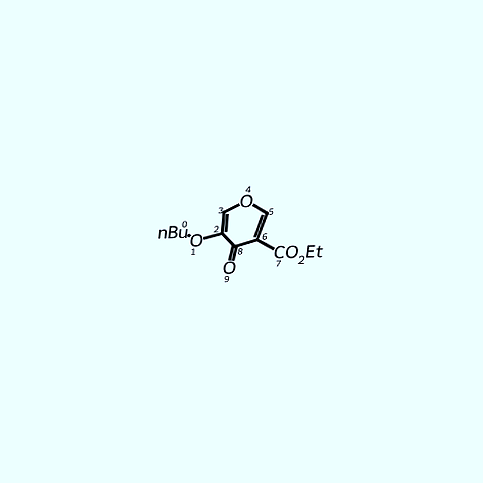 CCCCOc1cocc(C(=O)OCC)c1=O